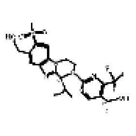 CC(C)[C@H]1c2nc3cc(CO)c(S(C)(=O)=O)cc3n2CCN1c1ncc([C@@H](C)O)c(C(F)(F)F)n1